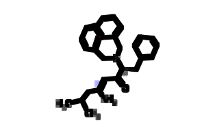 CC(C)C/C(N)=C/C(=O)[C@H](Cc1ccccc1)N(Cc1ccccc1)Cc1ccccc1